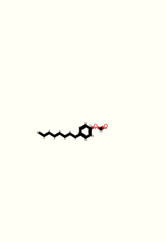 CCCCCCCCc1ccc(OC=O)cc1